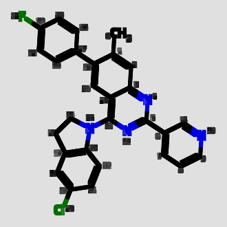 Cc1cc2nc(-c3cccnc3)nc(N3CCc4cc(Cl)ccc43)c2cc1-c1ccc(F)cc1